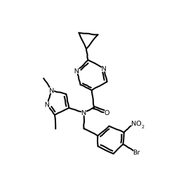 Cc1nn(C)cc1N(Cc1ccc(Br)c([N+](=O)[O-])c1)C(=O)c1cnc(C2CC2)nc1